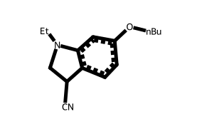 CCCCOc1ccc2c(c1)N(CC)CC2C#N